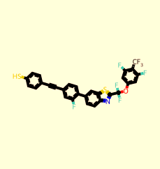 Fc1cc(C#Cc2ccc(S)cc2)ccc1-c1ccc2nc(C(F)(F)Oc3cc(F)c(C(F)(F)F)c(F)c3)sc2c1